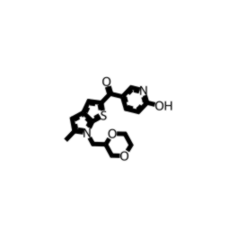 Cc1cc2cc(C(=O)c3ccc(O)nc3)sc2n1CC1COCCO1